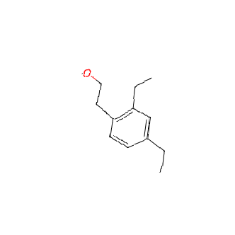 CCc1ccc(CC[O])c(CC)c1